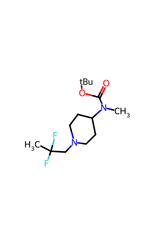 CN(C(=O)OC(C)(C)C)C1CCN(CC(C)(F)F)CC1